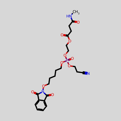 CNC(=O)CCC(=O)OCCOP(=O)(OCCC#N)OCCCCCON1C(=O)c2ccccc2C1=O